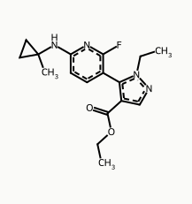 CCOC(=O)c1cnn(CC)c1-c1ccc(NC2(C)CC2)nc1F